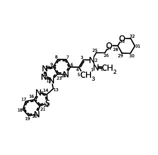 C=NN(/C=C(\C)c1ccc2nnn(Cc3nc4cccnc4s3)c2n1)CCOC1CCCCO1